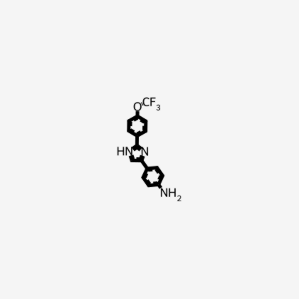 Nc1ccc(-c2c[nH]c(-c3ccc(OC(F)(F)F)cc3)n2)cc1